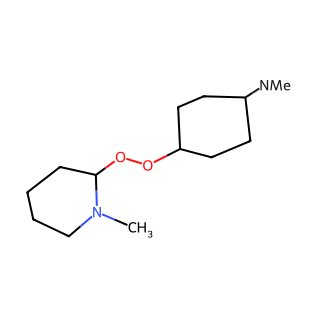 CNC1CCC(OOC2CCCCN2C)CC1